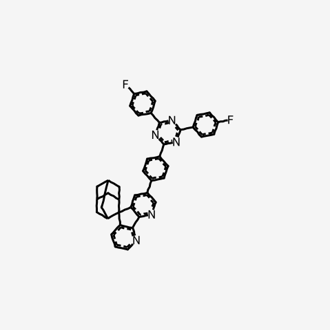 Fc1ccc(-c2nc(-c3ccc(F)cc3)nc(-c3ccc(-c4cnc5c(c4)C4(c6cccnc6-5)C5CC6CC(C5)CC4C6)cc3)n2)cc1